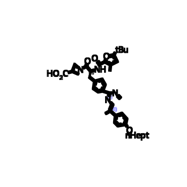 C=N/C(=N\C=C(/C)c1ccc(OCCCCCCC)cc1)c1ccc(C[C@H](NC(=O)c2oc(C(C)(C)C)cc2C)C(=O)N2CC(C(=O)O)C2)cc1